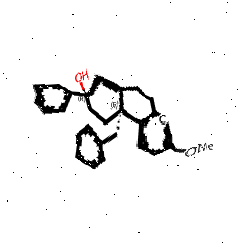 COc1ccc2c(c1)CCC1=C[C@@](O)(c3ccccc3)CC[C@@]12Cc1ccccc1